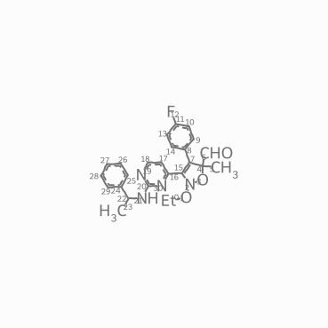 CCON1OC(C)(C=O)C(c2ccc(F)cc2)=C1c1ccnc(NC(C)c2ccccc2)n1